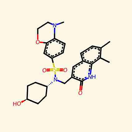 Cc1ccc2cc(CN([C@H]3CC[C@H](O)CC3)S(=O)(=O)c3ccc4c(c3)OCCN4C)c(=O)[nH]c2c1C